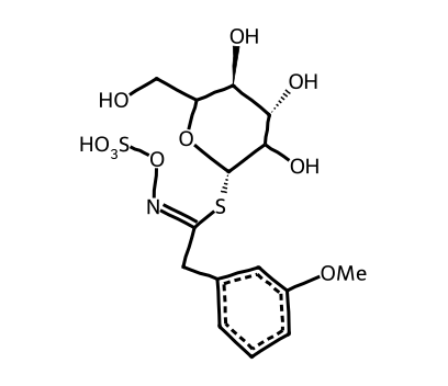 COc1cccc(C/C(=N/OS(=O)(=O)O)S[C@@H]2OC(CO)[C@@H](O)[C@H](O)C2O)c1